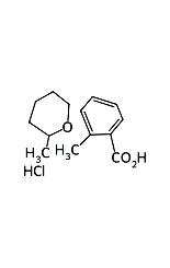 CC1CCCCO1.Cc1ccccc1C(=O)O.Cl